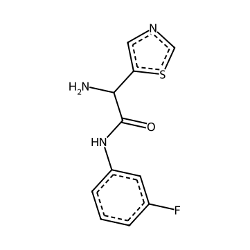 NC(C(=O)Nc1cccc(F)c1)c1cncs1